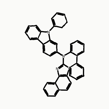 C1=CCCC(n2c3ccccc3c3ccc(N(c4nc5c(ccc6ccccc65)o4)c4ccccc4-c4ccccc4)cc32)=C1